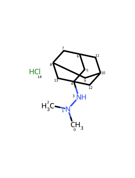 CN(C)NC12CC3CC(CC(C3)C1)C2.Cl